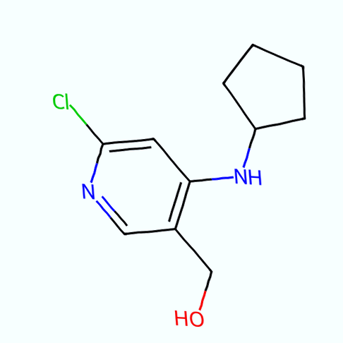 OCc1cnc(Cl)cc1NC1CCCC1